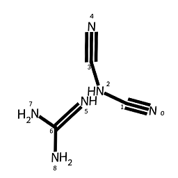 N#CNC#N.N=C(N)N